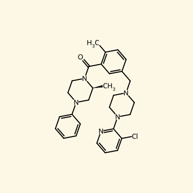 Cc1ccc(CN2CCN(c3ncccc3Cl)CC2)cc1C(=O)N1CCN(c2ccccc2)C[C@@H]1C